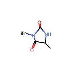 CC1NC(=O)N(C(C)C)C1=O